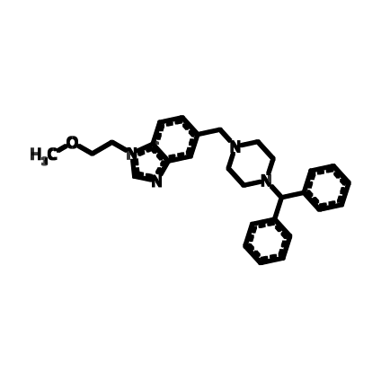 COCCn1cnc2cc(CN3CCN(C(c4ccccc4)c4ccccc4)CC3)ccc21